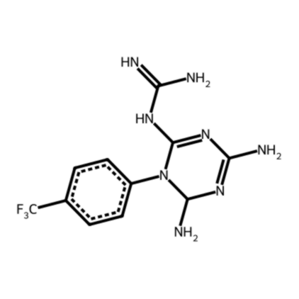 N=C(N)NC1=NC(N)=NC(N)N1c1ccc(C(F)(F)F)cc1